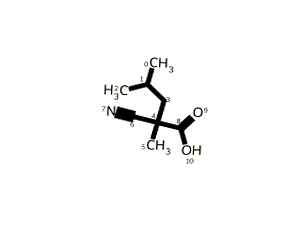 CC(C)CC(C)(C#N)C(=O)O